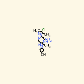 Cc1nn(-c2cc(N)[nH]c3c(C)n(-c4ccc(C#N)cc4)nc3ccn2)c(C)c1Cl